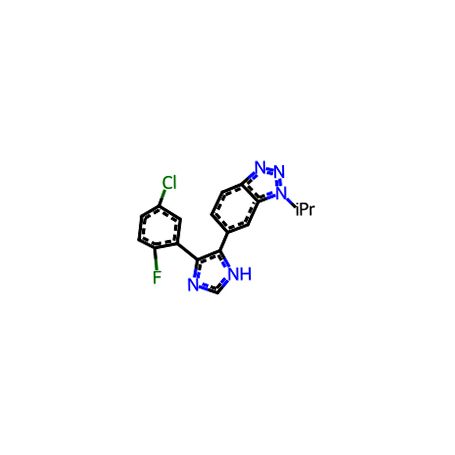 CC(C)n1nnc2ccc(-c3[nH]cnc3-c3cc(Cl)ccc3F)cc21